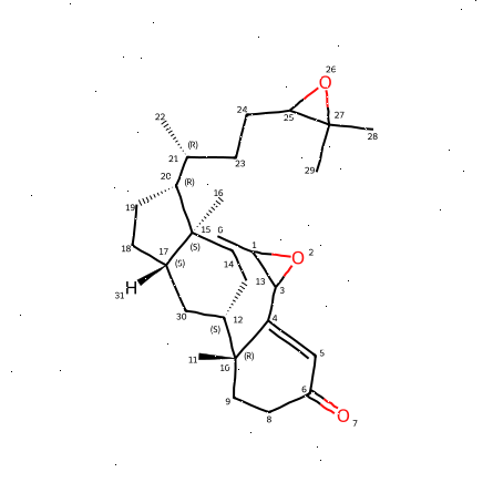 CC1OC1C1=CC(=O)CC[C@]1(C)[C@H]1CC[C@@]2(C)[C@@H](CC[C@@H]2[C@H](C)CCC2OC2(C)C)C1